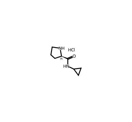 Cl.O=C(NC1CC1)[C@H]1CCCN1